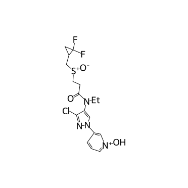 CCN(C(=O)CC[S+]([O-])CC1CC1(F)F)c1cn(-c2ccc[n+](O)c2)nc1Cl